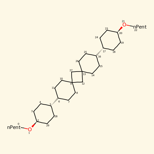 CCCCCO[C@H]1CC[C@H](C2CCC3(CC2)CC2(CCC([C@H]4CC[C@H](OCCCCC)CC4)CC2)C3)CC1